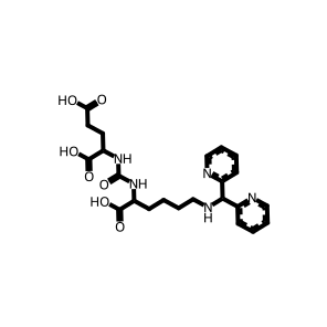 O=C(O)CCC(NC(=O)NC(CCCCNC(c1ccccn1)c1ccccn1)C(=O)O)C(=O)O